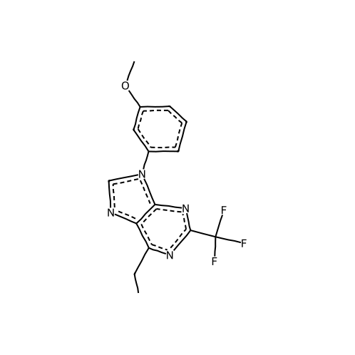 CCc1nc(C(F)(F)F)nc2c1ncn2-c1cccc(OC)c1